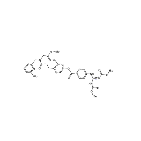 CC(C)(C)OC(=O)CN(Cc1cccc(C(C)(C)C)n1)C(=O)CCc1ccc(OC(=O)c2ccc(N/C(=N\C(=O)OC(C)(C)C)NC(=O)OC(C)(C)C)cc2)cc1Cl